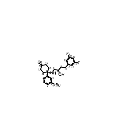 CC(C)(C)c1cccc(C2(NCC(O)CCc3cc(F)cc(F)c3)CCC(=O)CC2)c1